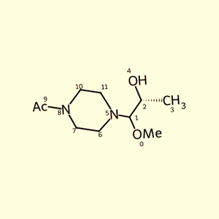 COC([C@@H](C)O)N1CCN(C(C)=O)CC1